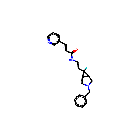 O=C(/C=C/c1cccnc1)NCCC1(F)C2CN(Cc3ccccc3)CC21